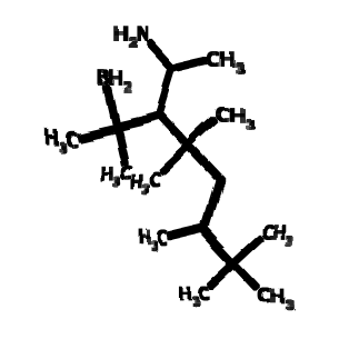 BC(C)(C)C(C(C)N)C(C)(C)CC(C)C(C)(C)C